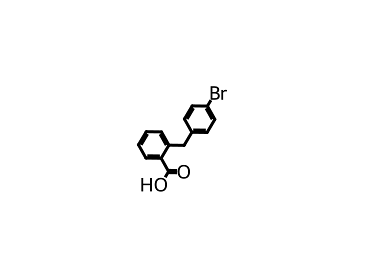 O=C(O)c1ccccc1Cc1ccc(Br)cc1